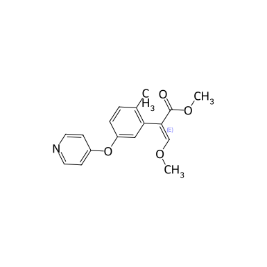 CO/C=C(/C(=O)OC)c1cc(Oc2ccncc2)ccc1C